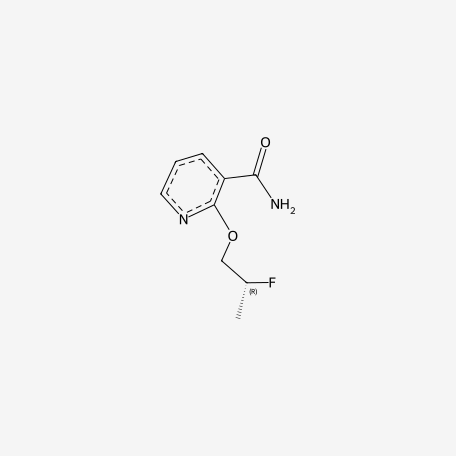 C[C@@H](F)COc1ncccc1C(N)=O